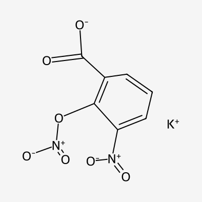 O=C([O-])c1cccc([N+](=O)[O-])c1O[N+](=O)[O-].[K+]